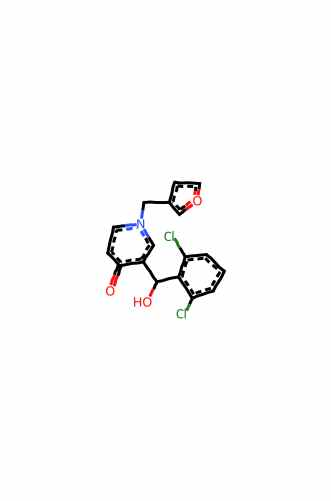 O=c1ccn(Cc2ccoc2)cc1C(O)c1c(Cl)cccc1Cl